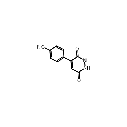 O=c1cc(-c2ccc(C(F)(F)F)cc2)c(=O)[nH][nH]1